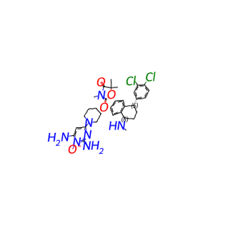 CN1C(=O)OC(C)(C)C1=O.CN[C@H]1CC[C@@H](c2ccc(Cl)c(Cl)c2)c2ccccc21.Nc1cc(N2CCCCC2)nc(N)[n+]1[O-]